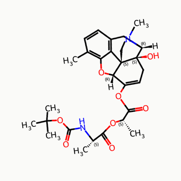 Cc1ccc2c3c1O[C@H]1C(OC(=O)[C@H](C)OC(=O)[C@H](C)NC(=O)OC(C)(C)C)=CC[C@@]4(O)[C@@H](C2)N(C)CC[C@]314